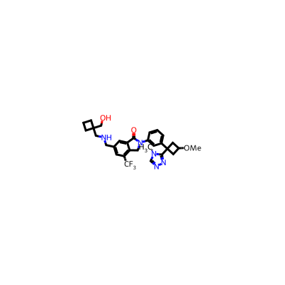 COC1CC(c2cccc(N3Cc4c(cc(CNCC5(CO)CCC5)cc4C(F)(F)F)C3=O)c2)(c2nncn2C)C1